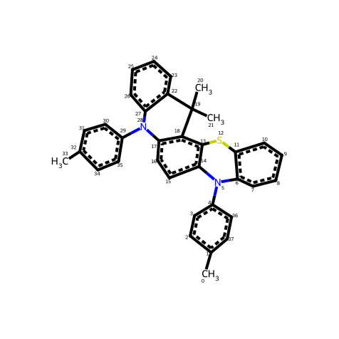 Cc1ccc(N2c3ccccc3Sc3c2ccc2c3C(C)(C)c3ccccc3N2c2ccc(C)cc2)cc1